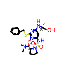 C[C@H](CO)Nc1cc(NS(=O)(=O)N2CCC[C@@H]2C(=O)N(C)C)nc(SCc2ccccc2)n1